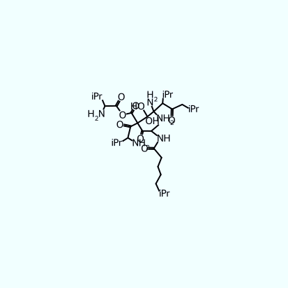 CC(C)CCCCC(=O)NC(C)C(=O)C(C(=O)OC(=O)C(N)C(C)C)(C(=O)C(N)C(C)C)C(O)(O)C(N)(N)C(C(=O)CC(C)C)C(C)C